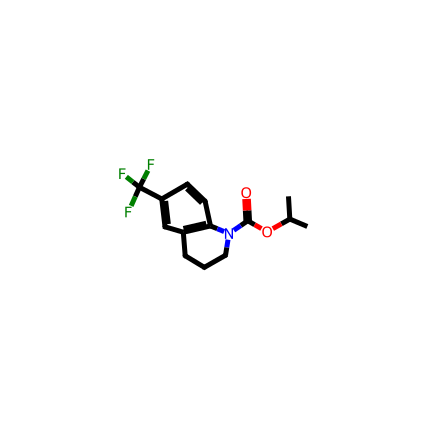 CC(C)OC(=O)N1CCCc2cc(C(F)(F)F)ccc21